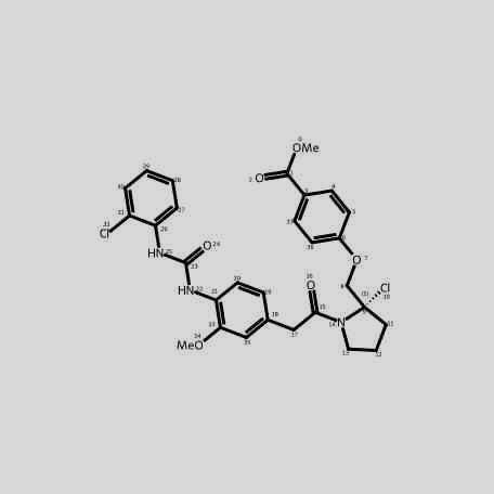 COC(=O)c1ccc(OC[C@@]2(Cl)CCCN2C(=O)Cc2ccc(NC(=O)Nc3ccccc3Cl)c(OC)c2)cc1